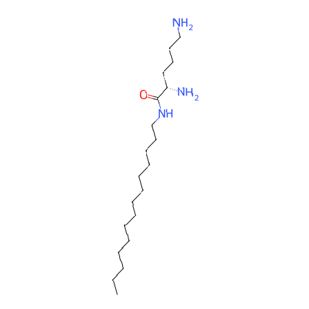 CCCCCCCCCCCCCCNC(=O)[C@@H](N)CCCCN